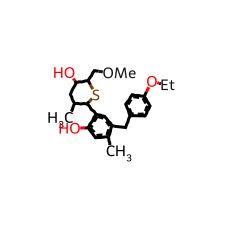 CCOc1ccc(Cc2cc(C3SC(COC)C(O)CC3C)c(O)cc2C)cc1